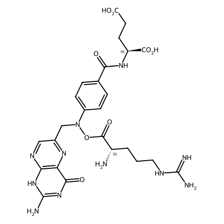 N=C(N)NCCC[C@H](N)C(=O)ON(Cc1cnc2[nH]c(N)nc(=O)c2n1)c1ccc(C(=O)N[C@@H](CCC(=O)O)C(=O)O)cc1